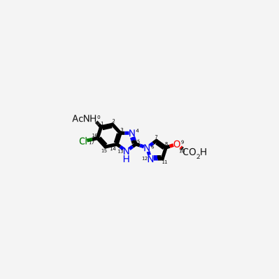 CC(=O)Nc1cc2nc(-n3cc(OC(=O)O)cn3)[nH]c2cc1Cl